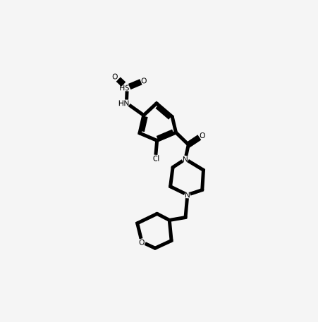 O=C(c1ccc(N[SH](=O)=O)cc1Cl)N1CCN(CC2CCOCC2)CC1